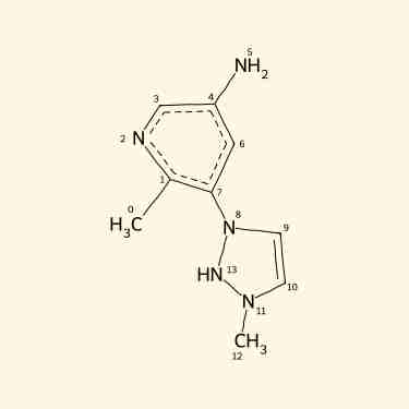 Cc1ncc(N)cc1N1C=CN(C)N1